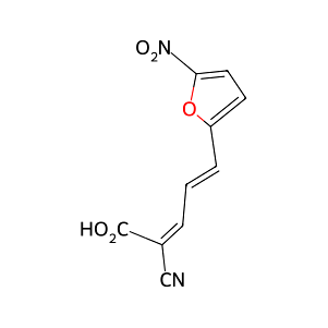 N#CC(=CC=Cc1ccc([N+](=O)[O-])o1)C(=O)O